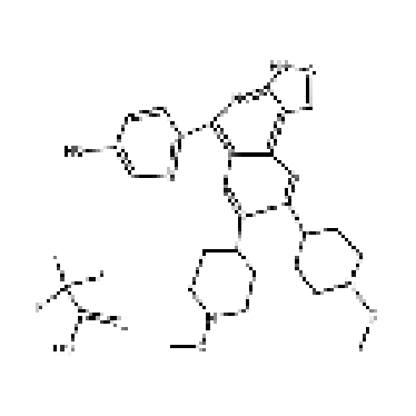 CON1CCC(c2cc3c(-c4ccc(O)cc4)nc4[nH]ncc4c3cc2C2CCN(OC)CC2)CC1.O=C(O)C(F)(F)F